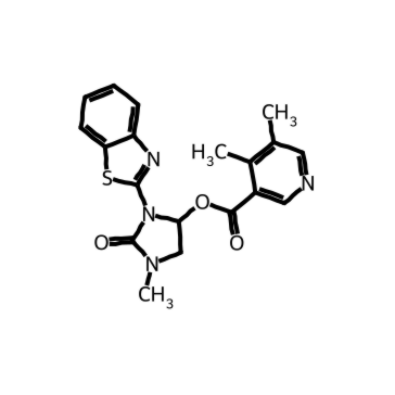 Cc1cncc(C(=O)OC2CN(C)C(=O)N2c2nc3ccccc3s2)c1C